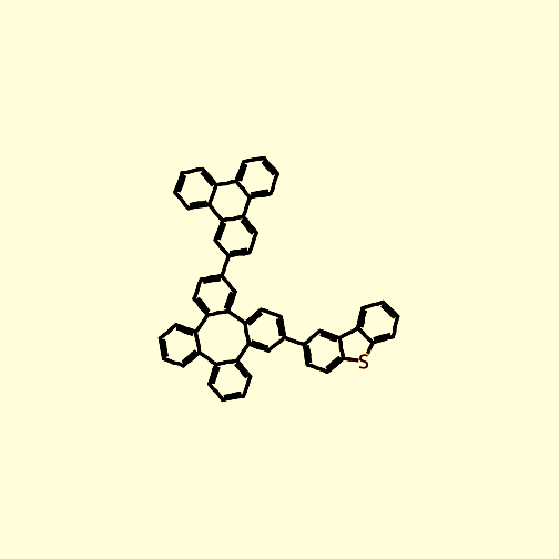 c1ccc2c(c1)-c1ccccc1-c1cc(-c3ccc4sc5ccccc5c4c3)ccc1-c1cc(-c3ccc4c5ccccc5c5ccccc5c4c3)ccc1-2